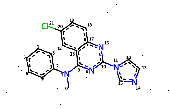 CN(c1ccccc1)c1nc(-n2ccnc2)nc2ccc(Cl)cc12